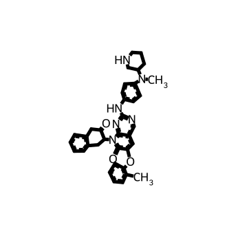 Cc1ccccc1Oc1cc2cnc(Nc3ccc(N(C)C4CCCNC4)cc3)nc2n(C2Cc3ccccc3CC2=O)c1=O